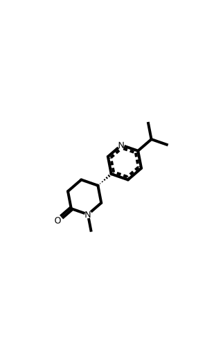 CC(C)c1ccc([C@H]2CCC(=O)N(C)C2)cn1